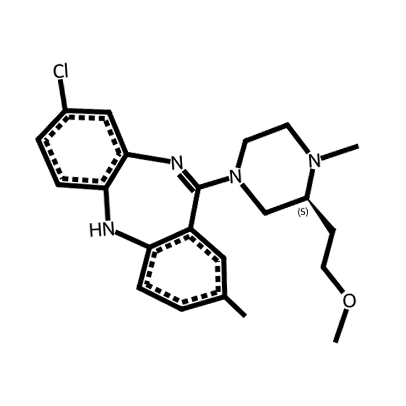 COCC[C@H]1CN(C2=Nc3cc(Cl)ccc3Nc3ccc(C)cc32)CCN1C